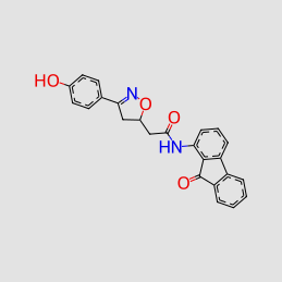 O=C(CC1CC(c2ccc(O)cc2)=NO1)Nc1cccc2c1C(=O)c1ccccc1-2